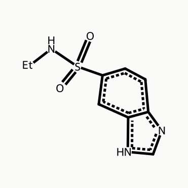 CCNS(=O)(=O)c1ccc2nc[nH]c2c1